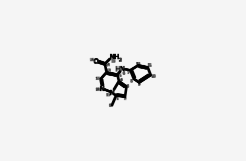 Cc1ccc2c(Nc3ccccc3)c(C(N)=O)cnn12